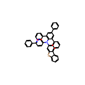 c1ccc(-c2cc(-c3ccccc3)c(N(c3ccc(-c4ccccc4)nc3)c3ccc4c(c3)sc3ccccc34)c(-c3ccccc3)c2)cc1